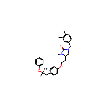 Cc1ccc(CN2CC(CCOc3ccc(CC(C)(Oc4ccccc4)C(=O)O)cc3)N(C)C2=O)cc1C